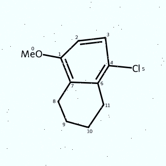 COc1ccc(Cl)c2c1CCCC2